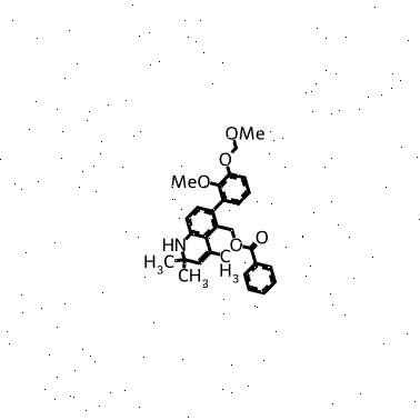 COCOc1cccc(-c2ccc3c(c2COC(=O)c2ccccc2)C(C)=CC(C)(C)N3)c1OC